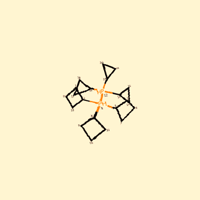 C1CC([PH](C2CCC2)(C2CCC2)[PH](C2CC2)(C2CC2)C2CC2)C1